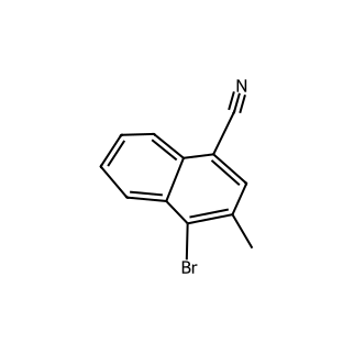 Cc1cc(C#N)c2ccccc2c1Br